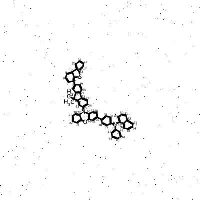 CC1(C)c2cc(-c3cccc4c3sc3ccccc34)ccc2-c2ccc(N3c4ccccc4Oc4cc(-c5ccc(N(c6ccccc6)c6cccc7ccccc67)cc5)ccc43)cc21